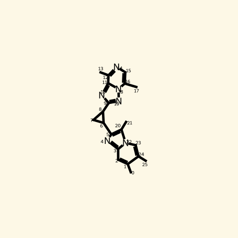 Cc1cc2nc(C3CC3c3nc4c(C)ncc(C)n4n3)c(C)n2cc1C